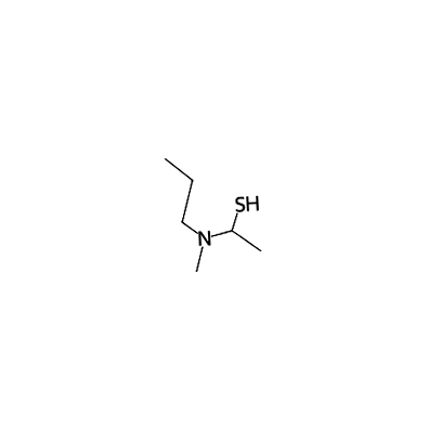 CCCN(C)C(C)S